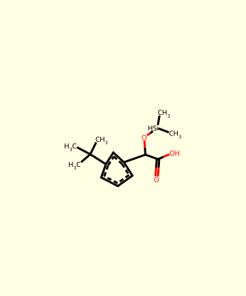 C[SiH](C)OC(C(=O)O)c1cccc(C(C)(C)C)c1